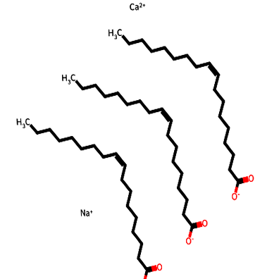 CCCCCCCC/C=C\CCCCCCCC(=O)[O-].CCCCCCCC/C=C\CCCCCCCC(=O)[O-].CCCCCCCC/C=C\CCCCCCCC(=O)[O-].[Ca+2].[Na+]